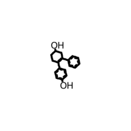 Oc1ccc(C2=C(c3ccccc3)CC(O)CC2)cc1